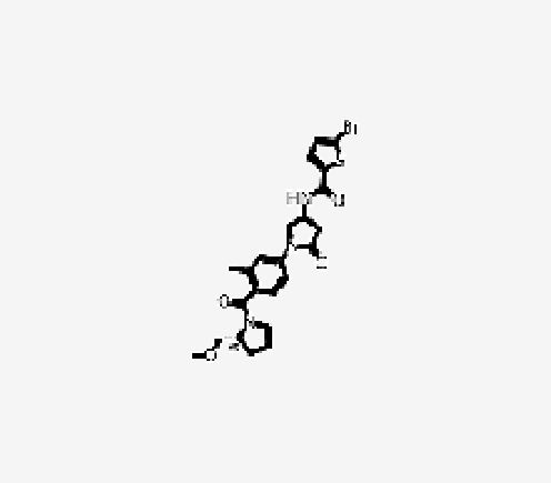 COC[C@H]1CCCN1C(=O)c1ccc(N2CC(NC(=O)c3ccc(Br)s3)CC2=O)cc1C